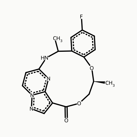 CC1Nc2ccn3ncc(c3n2)C(=O)OC[C@H](C)Oc2ccc(F)cc21